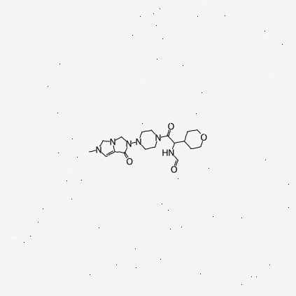 CN1C=C2C(=O)N(N3CCN(C(=O)C(NC=O)C4CCOCC4)CC3)CN2C1